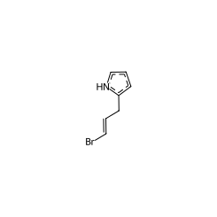 BrC=CCc1ccc[nH]1